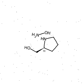 NO.OC[C@@H]1CCCN1